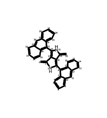 C=c1[nH]c(-c2c3ccccc3cc3ccccc23)c2c(=C)[nH]c(-c3c4ccccc4cc4ccccc34)c12